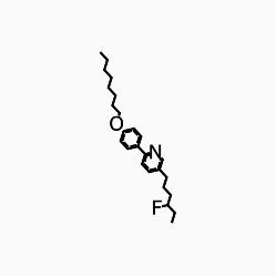 CCCCCCCCOc1ccc(-c2ccc(CCCC(F)CC)cn2)cc1